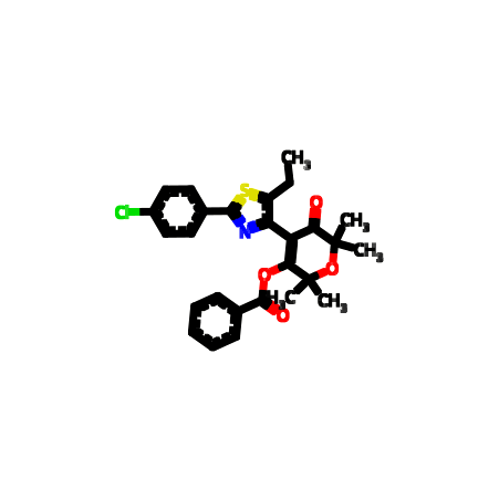 CCc1sc(-c2ccc(Cl)cc2)nc1C1=C(OC(=O)c2ccccc2)C(C)(C)OC(C)(C)C1=O